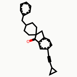 O=C1c2cc(C#CC3CC3)ccc2CC12CCC(Cc1ccccc1)CC2